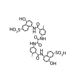 Cc1ccc(NC(=O)C(=O)Nc2ccc(C)c(C(=O)Nc3ccc(O)c4cc(S(=O)(=O)O)ccc34)c2)cc1C(=O)Nc1ccc(O)c2cc(S(=O)(=O)O)ccc12